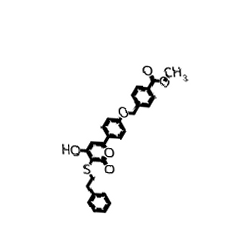 COC(=O)c1ccc(COc2ccc(-c3cc(O)c(SCCc4ccccc4)c(=O)o3)cc2)cc1